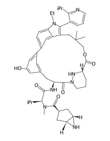 CCn1c(-c2cccnc2C(C)C)c2c3cc(ccc31)-c1cc(O)cc(c1)C[C@H](NC(=O)[C@H](C(C)C)N(C)C(=O)[C@H]1C[C@@H]3N[C@@H]3C1)C(=O)N1CCC[C@H](N1)C(=O)OCC(C)(C)C2